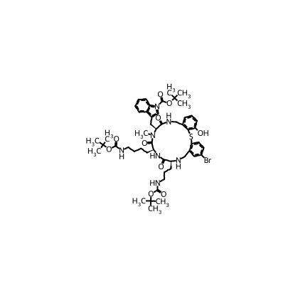 CN1C(=O)[C@H](CCCCNC(=O)OC(C)(C)C)NC(=O)[C@H](CCCNC(=O)OC(C)(C)C)NCc2cc(Br)ccc2Sc2c(O)cccc2CNC(=O)[C@@H]1Cc1cn(C(=O)OC(C)(C)C)c2ccccc12